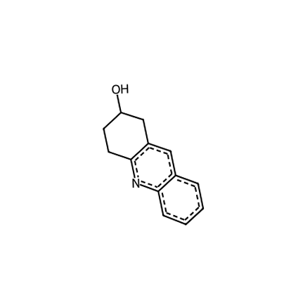 OC1CCc2nc3ccccc3cc2C1